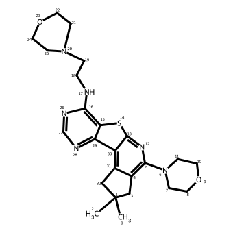 CC1(C)Cc2c(N3CCOCC3)nc3sc4c(NCCN5CCOCC5)ncnc4c3c2C1